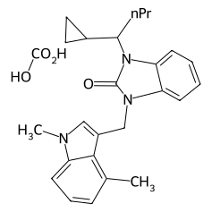 CCCC(C1CC1)n1c(=O)n(Cc2cn(C)c3cccc(C)c23)c2ccccc21.O=C(O)O